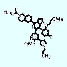 C=CCN1CCC(c2cc(-c3nc(-c4ccc5c(c4)CCN(C(=O)OC(C)(C)C)C5)c4ccsc4c3-c3ccc(F)cc3OCCOC)cnc2OC)C1